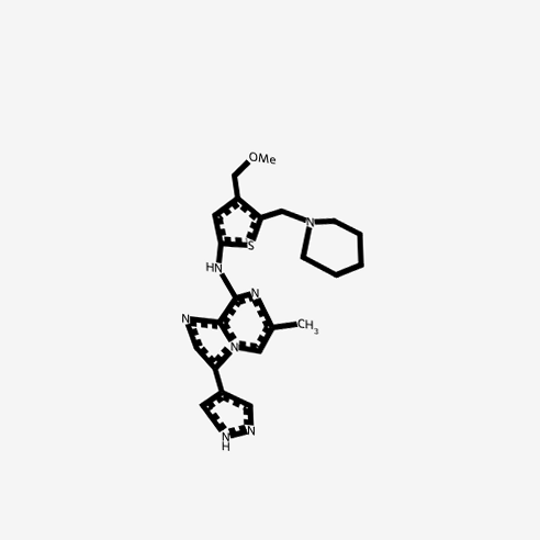 COCc1cc(Nc2nc(C)cn3c(-c4cn[nH]c4)cnc23)sc1CN1CCCCC1